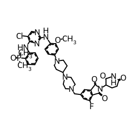 COc1cc(N2CCC(N3CCN(Cc4cc(F)c5c(c4)C(=O)N(C4CCC(=O)NC4=O)C5=O)CC3)CC2)ccc1Nc1ncc(Cl)c(Nc2ccccc2P(C)(C)=O)n1